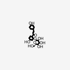 O=C(/C=C/c1ccc(O)cc1)c1ccc(O)cc1O[C@H]1O[C@H](CO)[C@H](O)[C@H](O)[C@@H]1O